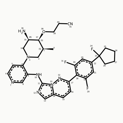 C[C@H]1CN(c2ccncc2Nc2ncc3ccc(-c4c(F)cc(C5(F)CCCC5)cc4F)nn23)C[C@@H](N)[C@H]1OCCC#N